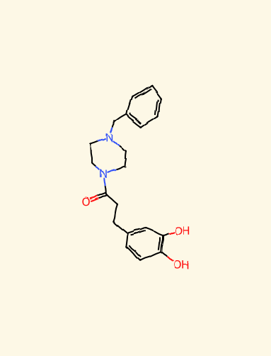 O=C(CCc1ccc(O)c(O)c1)N1CCN(Cc2ccccc2)CC1